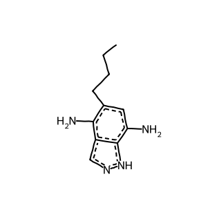 CCCCc1cc(N)c2[nH]ncc2c1N